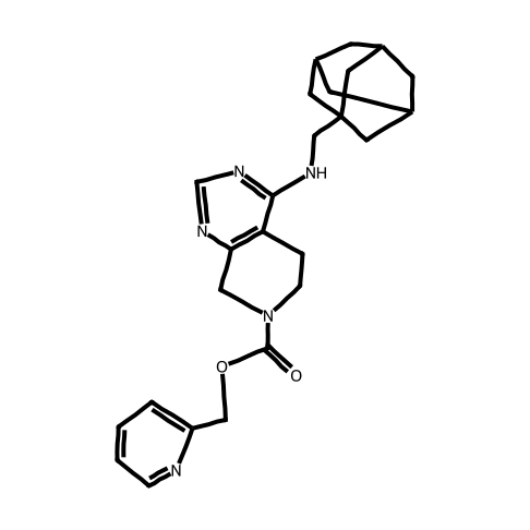 O=C(OCc1ccccn1)N1CCc2c(ncnc2NCC23CC4CC(CC(C4)C2)C3)C1